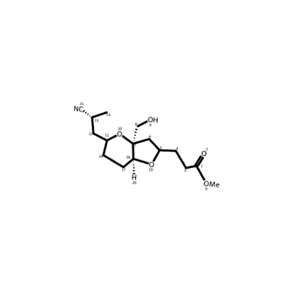 COC(=O)CCC1C[C@]2(CO)OC(C[C@@H](C)C#N)CC[C@@H]2O1